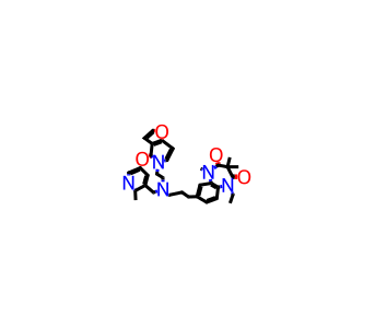 CCN1C(=O)C(C)(C)C(=O)N(C)c2cc(CCCN(CCn3ccc4occc4c3=O)Cc3cccnc3C)ccc21